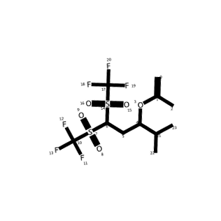 C=C(C)OC(CC(S(=O)(=O)C(F)(F)F)S(=O)(=O)C(F)(F)F)C(C)C